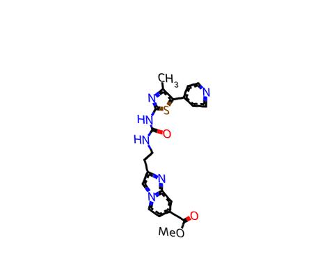 COC(=O)c1ccn2cc(CCNC(=O)Nc3nc(C)c(-c4ccncc4)s3)nc2c1